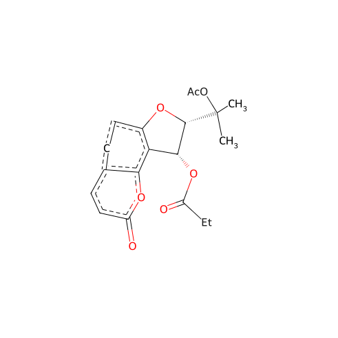 CCC(=O)O[C@@H]1c2c(ccc3ccc(=O)oc23)O[C@@H]1C(C)(C)OC(C)=O